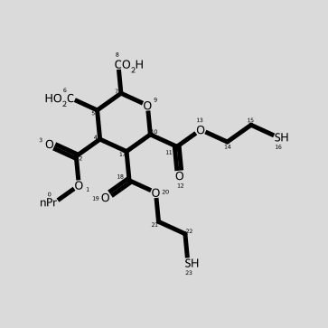 CCCOC(=O)C1C(C(=O)O)C(C(=O)O)OC(C(=O)OCCS)C1C(=O)OCCS